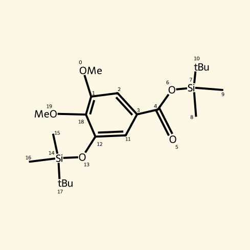 COc1cc(C(=O)O[Si](C)(C)C(C)(C)C)cc(O[Si](C)(C)C(C)(C)C)c1OC